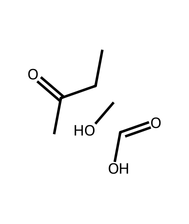 CCC(C)=O.CO.O=CO